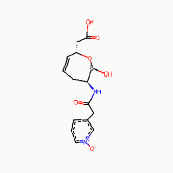 O=C(O)C[C@H]1C=CC[C@H](NC(=O)Cc2ccc[n+]([O-])c2)B(O)O1